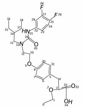 CCOC(Cc1ccc(OCCN(CC(CC)CC)C(=O)Nc2ccc(F)c(F)c2)cc1)C(=O)O